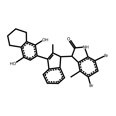 CC1=C(c2cc(O)c3c(c2O)CCCC3)c2ccccc2C1C1C(=O)Nc2c(Br)cc(Br)c(C)c21